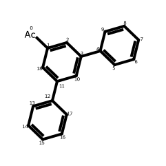 CC(=O)c1cc(-c2ccccc2)cc(-c2ccccc2)c1